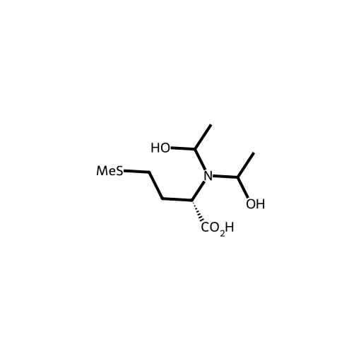 CSCC[C@@H](C(=O)O)N(C(C)O)C(C)O